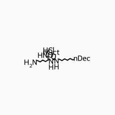 CCCCCCCCCCCCCCCCNC(=O)NC(CCCCN)C(=O)NCCCCCCCC.Cl